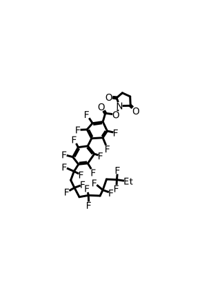 CCC(F)(F)CC(F)(F)CC(F)(F)CC(F)(F)CC(F)(F)c1c(F)c(F)c(-c2c(F)c(F)c(C(=O)ON3C(=O)CCC3=O)c(F)c2F)c(F)c1F